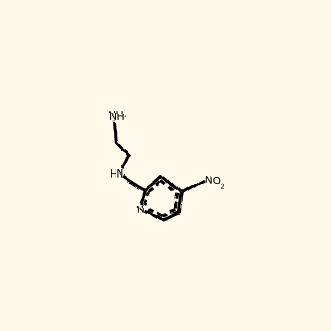 [NH]CCNc1cc([N+](=O)[O-])ccn1